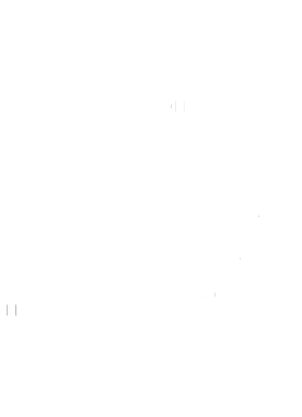 O=S(=O)(O)c1cc(O)cc2cc(O)ccc12